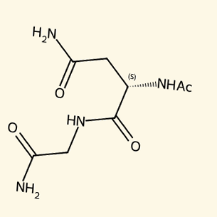 CC(=O)N[C@@H](CC(N)=O)C(=O)NCC(N)=O